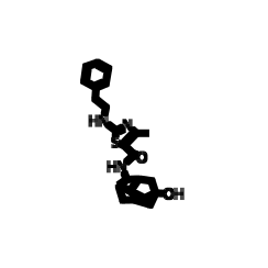 Cc1nc(NCCc2ccccc2)sc1C(=O)NC1C2CC3CC1CC(O)(C3)C2